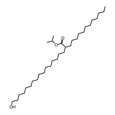 CCCCCCCCCCCCC(CCCCCCCCCCCCCCCCO)C(=O)OC(C)C